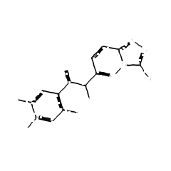 CC(C)c1nnc2ccc(C(Br)C(=O)c3cc(F)c(F)cc3F)nn12